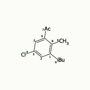 CCC(C)c1cc(Cl)cc(C(C)=O)c1C